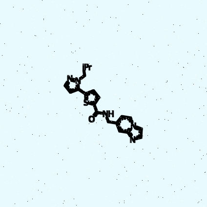 CC(C)Cn1nccc1-c1ccc(C(=O)NCc2ccn3ccnc3c2)s1